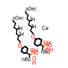 [3H]C(CCCCCCCCCCCCC)CC([3H])CCOc1ccc(C(CCCC)P(=O)(O)O)cc1.[3H]C(CCCCCCCCCCCCC)CC([3H])CCOc1ccc(C(CCCC)P(=O)(O)O)cc1.[Ca]